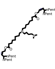 CCCCCC(/C=C\COC(=O)CCCCCCCN(CCCCCCCC(=O)OC/C=C\C(CCCCC)CCCCC)CCCCN(C)C)CCCCC